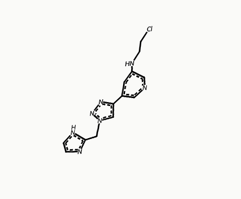 ClCCNc1cncc(-c2cn(Cc3ncc[nH]3)nn2)c1